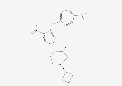 C[C@H]1C[C@@H](N2CCC2)CC[C@@H]1n1cc(C(N)=O)c(Nc2ccc([C@](C)(O)C(F)(F)F)cc2)n1